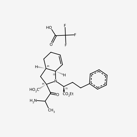 CCOC(=O)[C@H](CCc1ccccc1)N1[C@@H]2C=CCC[C@@H]2C[C@]1(C(=O)O)C(=O)C(C)N.O=C(O)C(F)(F)F